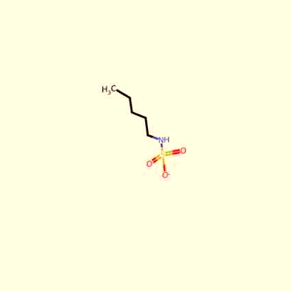 CCCCCNS([O])(=O)=O